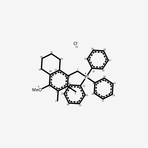 COc1c(C)c(C)c(C[P+](c2ccccc2)(c2ccccc2)c2ccccc2)c2c1CCCC2.[Cl-]